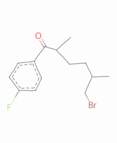 CC(CBr)CCC(C)C(=O)c1ccc(F)cc1